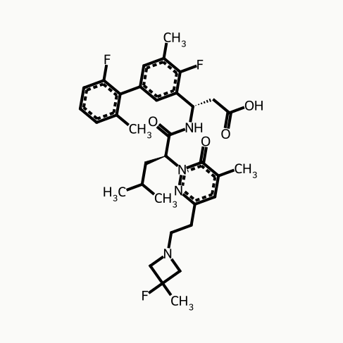 Cc1cc(-c2c(C)cccc2F)cc([C@H](CC(=O)O)NC(=O)[C@H](CC(C)C)n2nc(CCN3CC(C)(F)C3)cc(C)c2=O)c1F